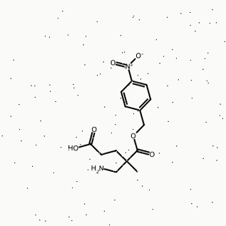 CC(CN)(CCC(=O)O)C(=O)OCc1ccc([N+](=O)[O-])cc1